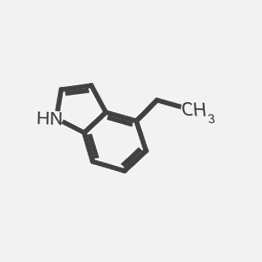 CCc1cccc2[nH]ccc12